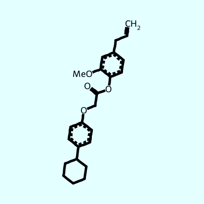 C=CCc1ccc(OC(=O)COc2ccc(C3CCCCC3)cc2)c(OC)c1